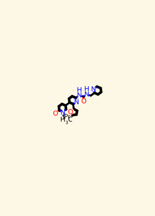 Cc1ccc(-c2nc(NC(=O)NCc3ccccn3)ccc2-c2ccc(=O)n(C(C)C)c2)o1